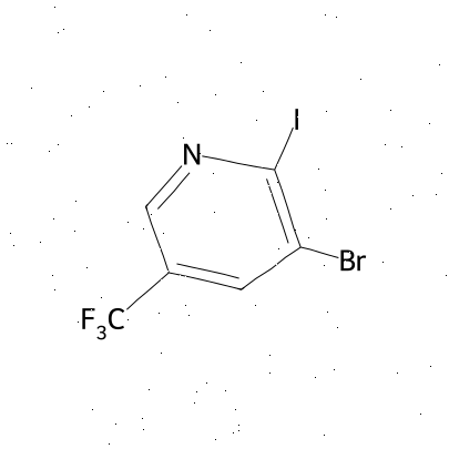 FC(F)(F)c1cnc(I)c(Br)c1